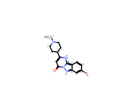 O=C(O)N1CCC(c2cc(=O)n3nc4cc(Br)ccc4c3[nH]2)CC1